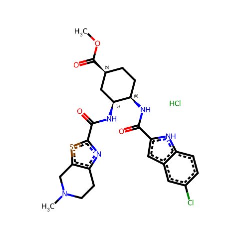 COC(=O)[C@H]1CC[C@@H](NC(=O)c2cc3cc(Cl)ccc3[nH]2)[C@@H](NC(=O)c2nc3c(s2)CN(C)CC3)C1.Cl